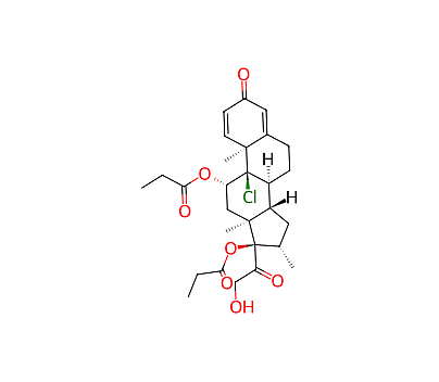 CCC(=O)O[C@H]1C[C@@]2(C)[C@@H](C[C@H](C)[C@]2(OC(=O)CC)C(=O)CO)[C@@H]2CCC3=CC(=O)C=C[C@]3(C)[C@@]12Cl